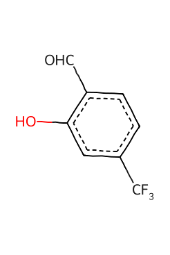 O=Cc1ccc(C(F)(F)F)cc1O